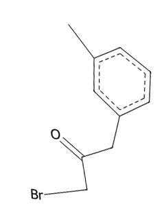 Cc1cccc(CC(=O)CBr)c1